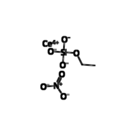 CCO[Si]([O-])([O-])[O-].O=[N+]([O-])[O-].[Ce+4]